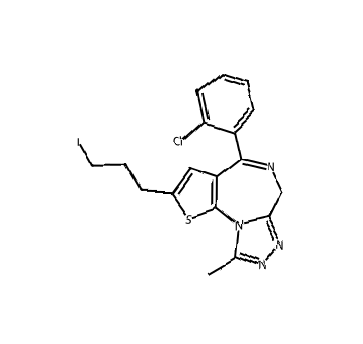 Cc1nnc2n1-c1sc(CCCI)cc1C(c1ccccc1Cl)=NC2